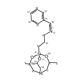 CC1CN2CC(C)O[Si](CCC/N=C\c3ccccc3)(O1)OC(C)C2